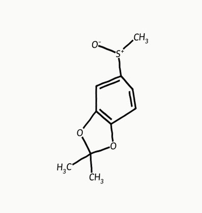 C[S+]([O-])c1ccc2c(c1)OC(C)(C)O2